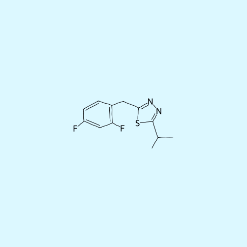 CC(C)c1nnc(Cc2ccc(F)cc2F)s1